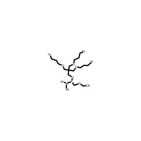 [2H]CCCOCC(COCCC[2H])(COCCC[2H])COP(COCC#N)N(C(C)C)C(C)C